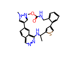 COC(=O)NCc1ccccc1-c1csc(C(C)Nc2nncc3ccc(-c4cnn(C)c4)cc23)c1